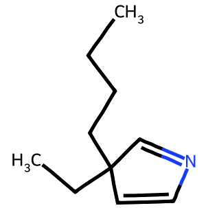 CCCCC1(CC)C=CN=C1